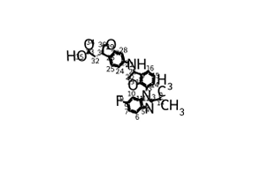 CC(C)c1nc2ccc(F)cc2n1-c1cccc2c1OC[C@H]2Nc1ccc2c(c1)OC[C@H]2CC(=O)O